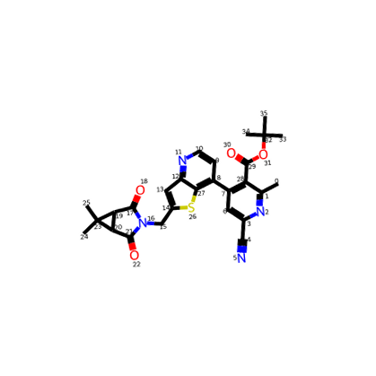 Cc1nc(C#N)cc(-c2ccnc3cc(CN4C(=O)C5C(C4=O)C5(C)C)sc23)c1C(=O)OC(C)(C)C